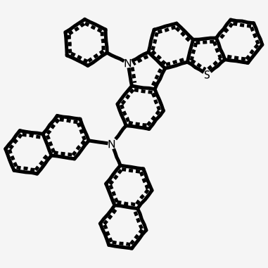 c1ccc(-n2c3cc(N(c4ccc5ccccc5c4)c4ccc5ccccc5c4)ccc3c3c4sc5ccccc5c4ccc32)cc1